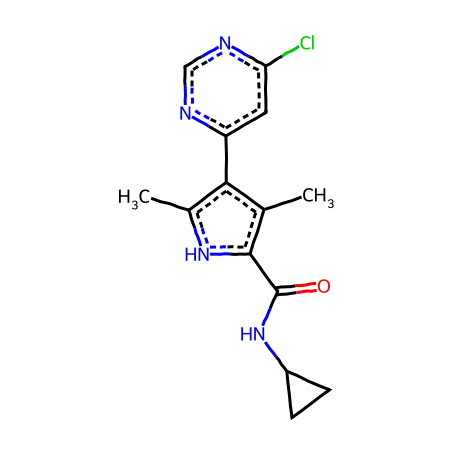 Cc1[nH]c(C(=O)NC2CC2)c(C)c1-c1cc(Cl)ncn1